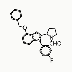 O=CN1CCCC1c1cc2c(OCc3ccccc3)cccc2n1-c1ccc(F)cc1